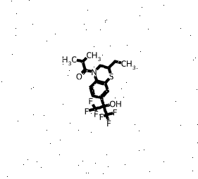 CCC1CN(C(=O)C(C)C)c2ccc(C(O)(C(F)(F)F)C(F)(F)F)cc2S1